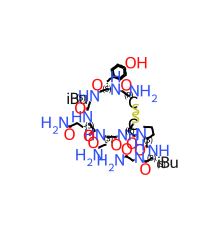 CC[C@H](C)C1NC(=O)[C@H](Cc2ccc(O)cc2)NC(=O)[C@@H](N)CSSC[C@@H](C(=O)N2CCC[C@H]2C(=O)N[C@H](C(=O)NCC(N)=O)[C@@H](C)CC)NC(=O)[C@H](CC(N)=O)NC(=O)[C@H](CCC(N)=O)NC1=O